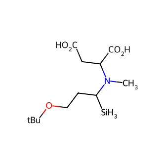 CN(C([SiH3])CCOC(C)(C)C)C(CC(=O)O)C(=O)O